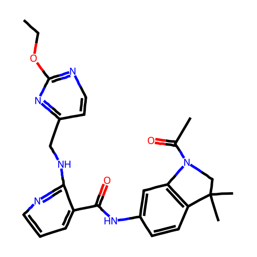 CCOc1nccc(CNc2ncccc2C(=O)Nc2ccc3c(c2)N(C(C)=O)CC3(C)C)n1